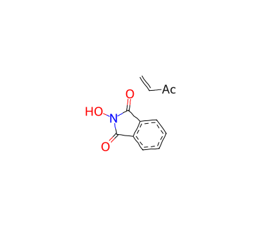 C=CC(C)=O.O=C1c2ccccc2C(=O)N1O